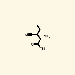 CCC(C#N)CC(=O)O.N